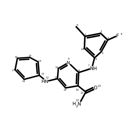 Cc1cc(F)cc(Nc2ncc(Nc3ccccc3)cc2C(N)=O)c1